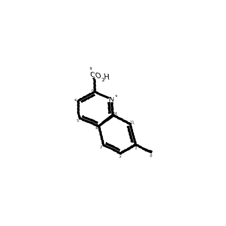 Cc1ccc2ccc(C(=O)O)nc2c1